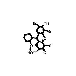 O=c1c(Br)cc2c(-c3ccccc3OCO)c3cc(Br)c(O)c(Br)c3oc-2c1Br